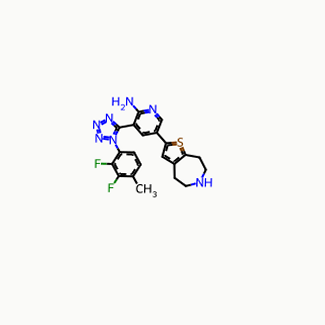 Cc1ccc(-n2nnnc2-c2cc(-c3cc4c(s3)CCNCC4)cnc2N)c(F)c1F